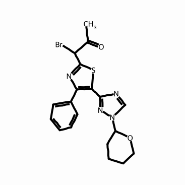 CC(=O)C(Br)c1nc(-c2ccccc2)c(-c2ncn(C3CCCCO3)n2)s1